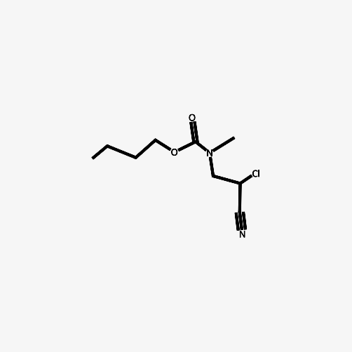 CCCCOC(=O)N(C)CC(Cl)C#N